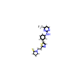 FC(F)(F)c1ccnc(Nc2cccc(-c3cnc(CCN4CCCC4=S)s3)c2)n1